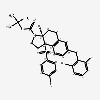 CC(C)(C)OC(=O)N1CC[C@@]2(S(=O)(=O)c3ccc(F)cc3)c3ccc(Cc4c(F)cccc4Cl)cc3CC[C@@H]12